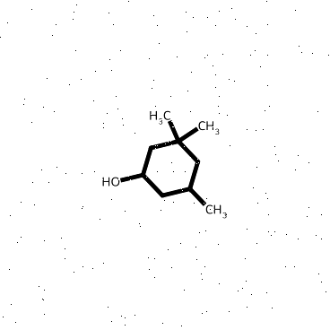 C[C]1CC(O)CC(C)(C)C1